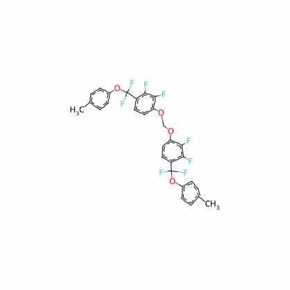 Cc1ccc(OC(F)(F)c2ccc(OCOc3ccc(C(F)(F)Oc4ccc(C)cc4)c(F)c3F)c(F)c2F)cc1